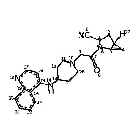 N#CC1C[C@@H]2CC2N1C(=O)CN1CCC(Nc2ccnc3ccccc23)CC1